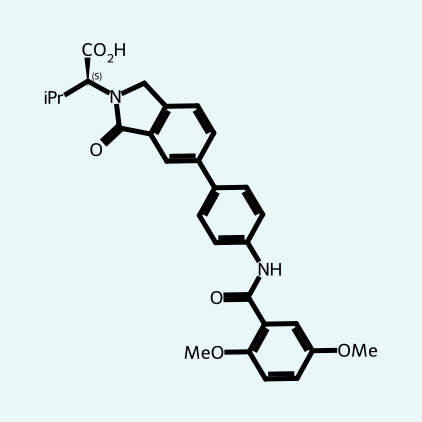 COc1ccc(OC)c(C(=O)Nc2ccc(-c3ccc4c(c3)C(=O)N([C@H](C(=O)O)C(C)C)C4)cc2)c1